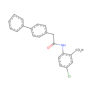 O=C(Cc1ccc(-c2ccccc2)cc1)Nc1ccc(Cl)cc1C(=O)O